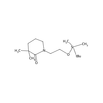 CC1(C)CCCN(CCO[Si](C)(C)C(C)(C)C)C1=O